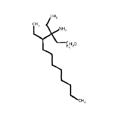 CCCCCCCCC(CC)C(N)(CC)CC.O